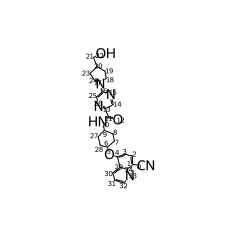 N#Cc1ccc(OC2CCC(NC(=O)c3cnc(N4CCC(CO)CC4)cn3)CC2)c2cccnc12